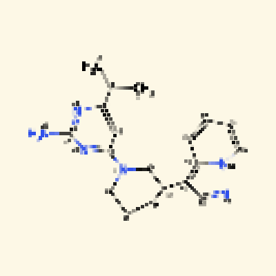 CC(C)c1cc(N2CCCC(c3cnn4ccccc34)C2)nc(N)n1